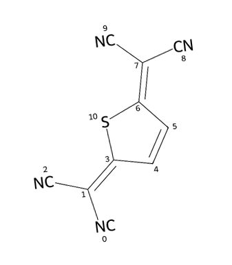 [C-]#[N+]/C(C#N)=c1\ccc(=C(C#N)C#N)s1